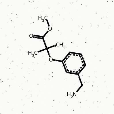 COC(=O)C(C)(C)Oc1cccc(CN)c1